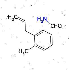 C=CCc1ccccc1C.NC=O